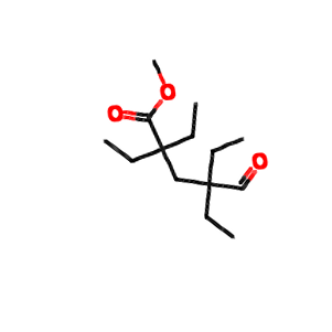 CCC(C=O)(CC)CC(CC)(CC)C(=O)OC